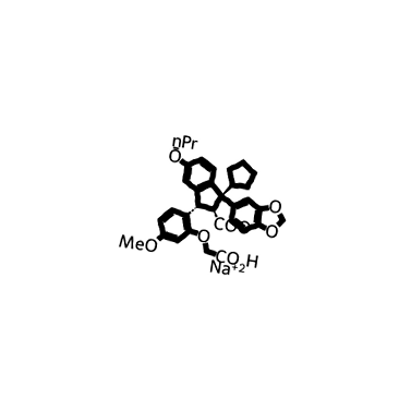 CCCOc1ccc2c(c1)[C@@H](c1ccc(OC)cc1OCC(=O)O)[C@@H](C(=O)[O-])[C@]2(c1ccc2c(c1)OCO2)C1CCCC1.[Na+]